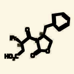 CC(C)[C@H](CC(=O)O)C(=O)N1C(=O)OC[C@@H]1Cc1ccccc1